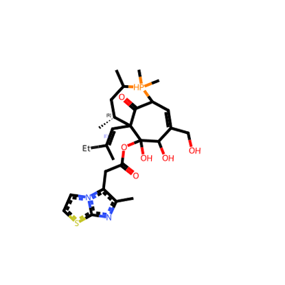 CC/C(C)=C/C12C(=O)C(C=C(CO)C(O)C1(O)OC(=O)Cc1c(C)nc3sccn13)[PH](C)(C)C(C)C[C@H]2C